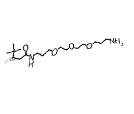 C[C@@H](CC(=O)NCCCOCCOCCOCCCN)C(C)(C)C